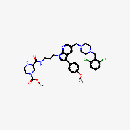 CC(C)(C)OC(=O)N1CCNC(C(=O)NCCCn2cc(-c3ccc(OC(F)(F)F)cc3)c3cc(CN4CCN(Cc5c(Cl)cccc5Cl)CC4)cnc32)C1